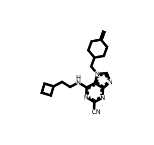 C=C1CCC(Cn2cnc3nc(C#N)nc(NCCC4CCC4)c32)CC1